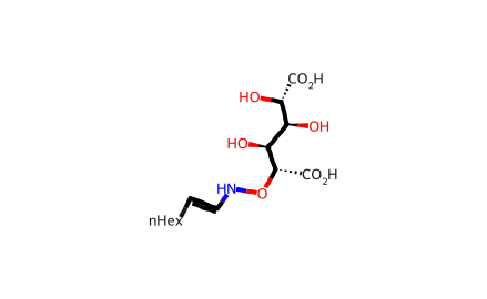 CCCCCC/C=C/NO[C@@H](C(=O)O)[C@@H](O)[C@H](O)[C@H](O)C(=O)O